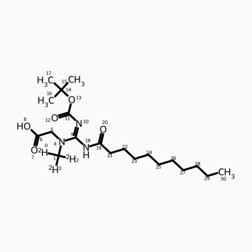 [2H]C([2H])([2H])N(CC(=O)O)C(=NC(=O)OC(C)(C)C)NC(=O)CCCCCCCCCC